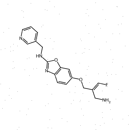 NCC(=CF)COc1ccc2nc(NCc3cccnc3)oc2c1